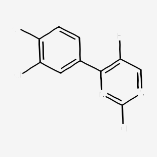 Fc1cnc(Cl)nc1-c1ccc(Cl)c(Cl)c1